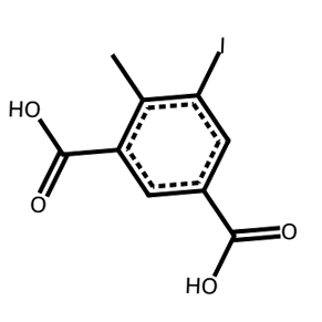 Cc1c(I)cc(C(=O)O)cc1C(=O)O